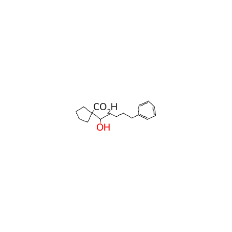 O=C(O)C1(C(O)CCCCc2ccccc2)CCCC1